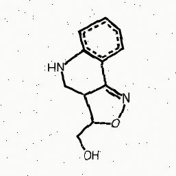 OCC1ON=C2c3ccccc3NCC21